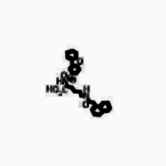 O=C(Cc1cccc2ccccc12)NCCCCC(NS(=O)(=O)c1ccc2oc3ccccc3c2c1)C(=O)O